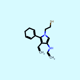 C=CNc1cn(CCS)c(C2=CCCC=C2)c1C=C